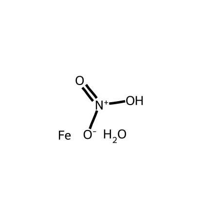 O.O=[N+]([O-])O.[Fe]